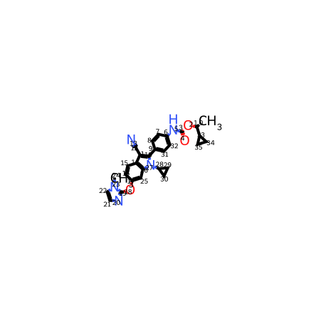 CC(OC(=O)Nc1ccc(-c2c(C#N)c3ccc(Oc4nccn4C)cc3n2C2CC2)cc1)C1CC1